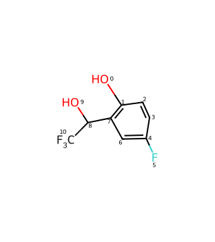 Oc1ccc(F)cc1C(O)C(F)(F)F